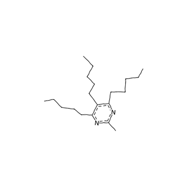 CCCCCc1nc(C)nc(CCCCC)c1CCCCC